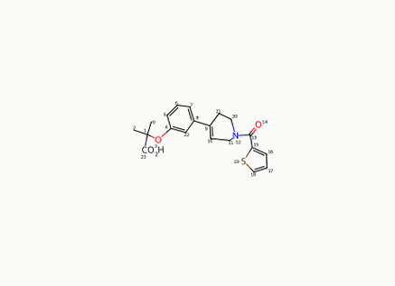 CC(C)(Oc1cccc(C2=CCN(C(=O)c3cccs3)CC2)c1)C(=O)O